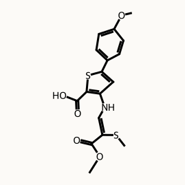 COC(=O)C(=CNc1cc(-c2ccc(OC)cc2)sc1C(=O)O)SC